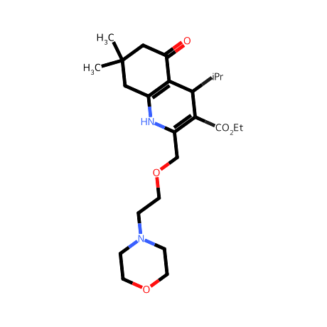 CCOC(=O)C1=C(COCCN2CCOCC2)NC2=C(C(=O)CC(C)(C)C2)C1C(C)C